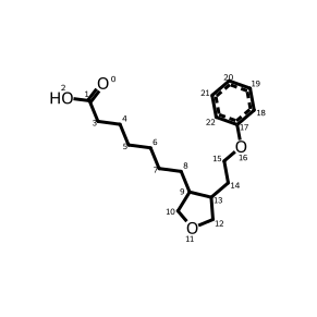 O=C(O)CCCCCCC1COCC1CCOc1ccccc1